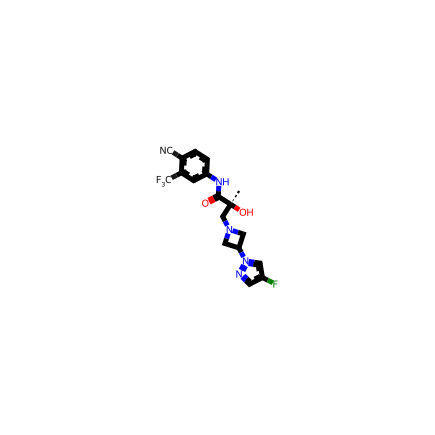 C[C@](O)(CN1CC(n2cc(F)cn2)C1)C(=O)Nc1ccc(C#N)c(C(F)(F)F)c1